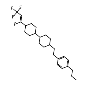 CCCc1ccc(CCC2CCC(C3CCC(/C(F)=C/C(F)(F)F)CC3)CC2)cc1